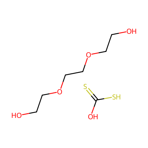 OC(=S)S.OCCOCCOCCO